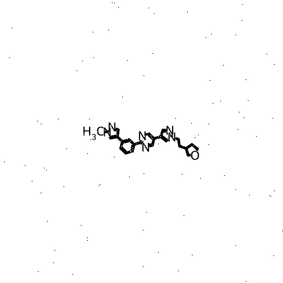 Cn1cc(-c2cccc(-c3ncc(-c4cnn(CCC5CCOC5)c4)cn3)c2)cn1